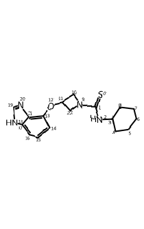 S=C(NC1CCCCC1)N1CC(Oc2cccc3[nH]cnc23)C1